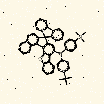 CC(C)(C)c1ccc(N(c2ccc([Si](C)(C)C)cc2)c2cc3c(c4oc5ccccc5c24)-c2c(ccc4ccccc24)C32c3ccccc3-c3ccccc32)cc1